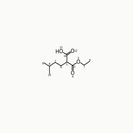 CCOC(=O)C(CCC(C)C)C(=O)O